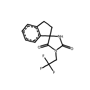 O=C1NC2(CCc3ccccc32)C(=O)N1CC(F)(F)F